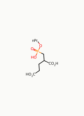 CCCOP(=O)(O)CC(CCC(=O)O)C(=O)O